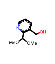 COC(OC)c1ncccc1CO